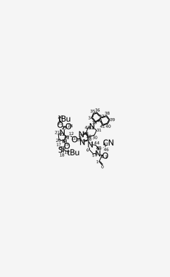 C=CC(=O)N1CCN(c2nc(OC[C@@H]3[C@@H](O[Si](C)(C)C(C)(C)C)CCN3C(=O)OC(C)(C)C)nc3c2CCN(c2cccc4ccccc24)C3)C[C@@H]1CC#N